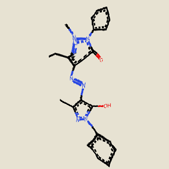 Cc1nn(-c2ccccc2)c(O)c1/N=N/c1c(C)n(C)n(-c2ccccc2)c1=O